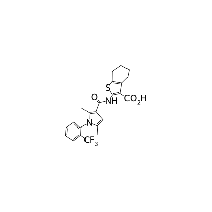 Cc1cc(C(=O)Nc2sc3c(c2C(=O)O)CCCC3)c(C)n1-c1ccccc1C(F)(F)F